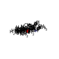 CN(C)c1ccc(/C=C\CN(c2nc(-c3ccc(Cl)cc3)cc(-c3ccc(Cl)cc3)n2)C(O)C(=O)NC(C(=O)NC(NC(=N)N)C(=O)NC(NC(=N)N)C(=O)NC(NC(=N)N)C(=O)NC(NC(=N)N)C(N)=O)c2ccccc2)cc1